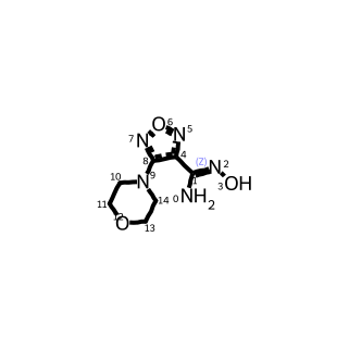 N/C(=N\O)c1nonc1N1CCOCC1